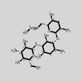 NC[C@H]1O[C@H](O[C@H]2[C@H](O)[C@@H](O[C@H]3O[C@H](CO)[C@@H](O)[C@H](N)[C@H]3O)[C@H](N)C[C@@H]2N)[C@H](N)C[C@@H]1O.O=S(=O)(O)O